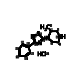 CC1CNCCN1c1nc(-c2ccccc2)ns1.Cl